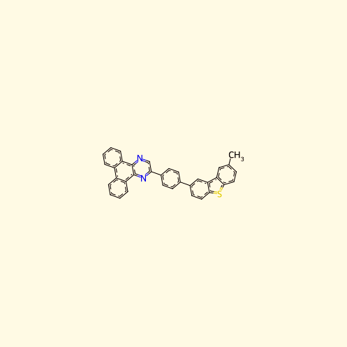 Cc1ccc2sc3ccc(-c4ccc(-c5cnc6c7ccccc7c7ccccc7c6n5)cc4)cc3c2c1